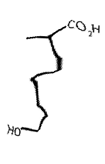 CC(CCCO)C(=O)O